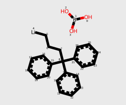 OB(O)O.[Li][CH2]CCC(c1ccccc1)(c1ccccc1)c1ccccc1